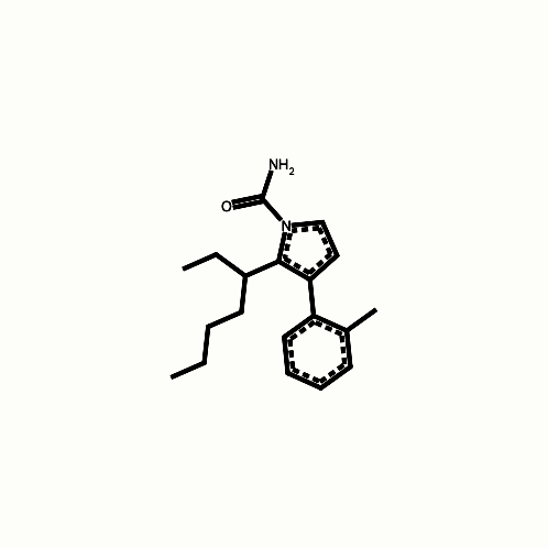 CCCCC(CC)c1c(-c2ccccc2C)ccn1C(N)=O